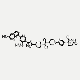 CCN(C(=O)C1CCN(c2ccc([C@H]3CCC(=O)NC3=O)cn2)CC1)C1CCC(c2nnc(-c3cnc(-c4ccc5cc(C#N)cnn45)cc3NC)s2)CC1